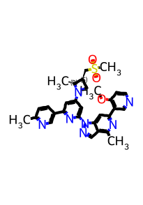 COc1ccncc1-c1cc2c(cnn2-c2cc(N3C[C@H](CS(C)(=O)=O)[C@H]3C)cc(-c3ccc(C)nc3)n2)c(C)n1